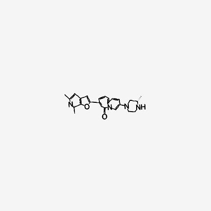 Cc1cc2cc(C3=C\C(=O)N4C=C(N5CCN[C@@H](C)C5)C=C\C4=C/C=C/3)oc2c(C)n1